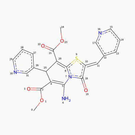 COC(=O)C1=C(N)n2c(sc(=Cc3cccnc3)c2=O)=C(C(=O)OC)C1c1cccnc1